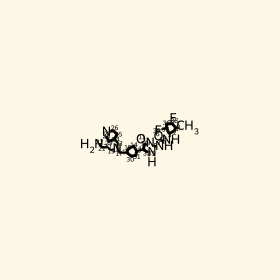 Cc1cc(NC(=O)Nc2nc(=O)c(-c3ccc(CN(CCCN)Cc4ccncc4)cc3)c[nH]2)c(F)cc1F